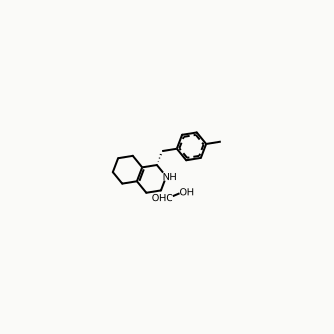 Cc1ccc(C[C@@H]2NCCC3=C2CCCC3)cc1.O=CO